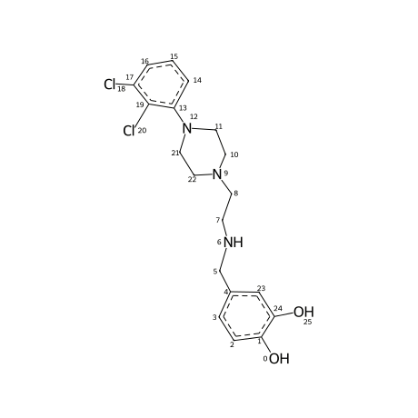 Oc1ccc(CNCCN2CCN(c3cccc(Cl)c3Cl)CC2)cc1O